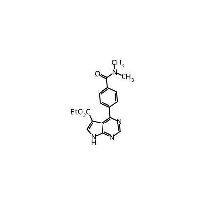 CCOC(=O)c1c[nH]c2ncnc(-c3ccc(C(=O)N(C)C)cc3)c12